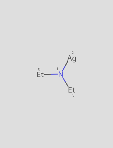 CC[N]([Ag])CC